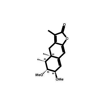 CO[C@H]1[C@H](OC)C=C2C=C3OC(=O)C(C)=C3C[C@]2(C)[C@H]1C